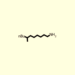 CCCCC(C)CCCCCCN